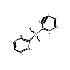 C[N+](C)(c1ccccc1)c1ccccn1